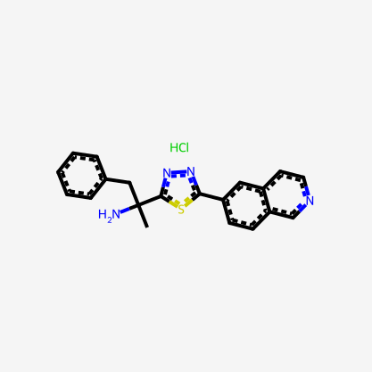 CC(N)(Cc1ccccc1)c1nnc(-c2ccc3cnccc3c2)s1.Cl